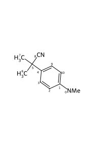 CNc1ccc(C(C)(C)C#N)cc1